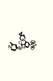 Cc1cc(NC(=O)c2ccc(S(C)(=O)=O)cc2N2CCC3(CC2)CC3)ccn1